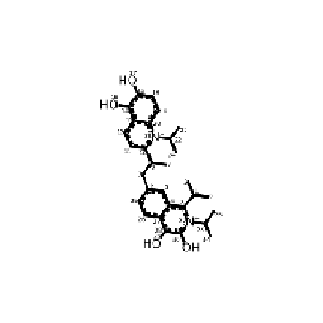 CC(C)c1c2cc(CC(C)c3ccc4c(O)c(O)ccc4[n+]3C(C)C)ccc2c(O)c(O)[n+]1C(C)C